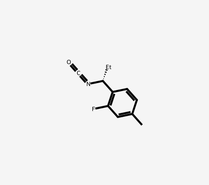 CC[C@@H](N=C=O)c1ccc(C)cc1F